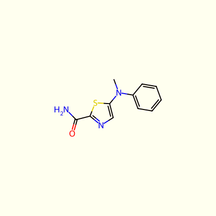 CN(c1ccccc1)c1cnc(C(N)=O)s1